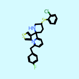 Fc1ccc(Cc2cccc(C3(c4ccsc4)CCC(Sc4ccccc4Cl)CN3)n2)cc1